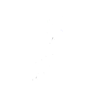 CCC[C@H]1CC[C@H]([C@H]2CC[C@H](c3cnc(Cl)c(Cl)c3)CC2)CC1